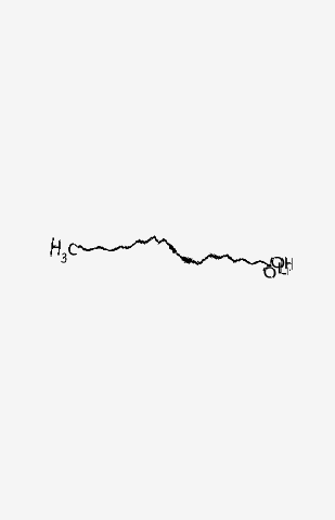 CCCCCCCCCCCCC#CC#CCCCCCCCCC(=O)O.[Li]